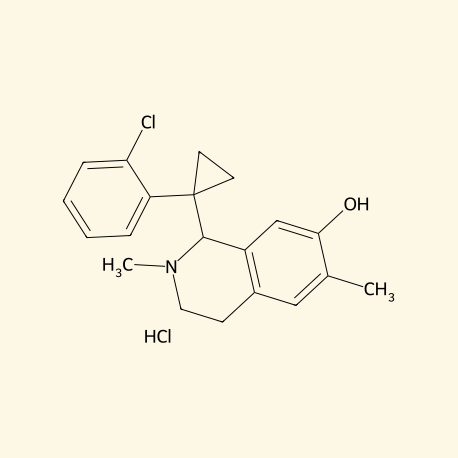 Cc1cc2c(cc1O)C(C1(c3ccccc3Cl)CC1)N(C)CC2.Cl